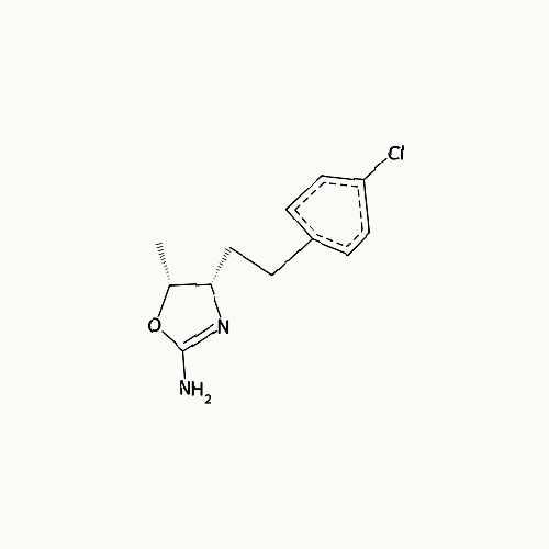 C[C@H]1OC(N)=N[C@H]1CCc1ccc(Cl)cc1